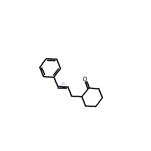 O=C1CCCCC1C/C=C/c1ccccc1